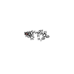 COc1cc(NCC(=O)NCCCc2cccc(C3(C(=O)O[C@H]4CN5CCC4CC5)CCCCC3)c2)c(Cl)cc1C=O